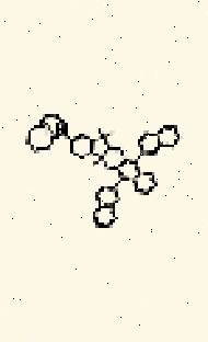 CC1(C)C2=Cc3c(c(-c4ccc5ccccc5c4)c4ccccc4c3-c3ccc4ccccc4c3)CC2(C)C2=C1C=C(C1=C3C=CC=CC(=CC=C1)N3)CC2